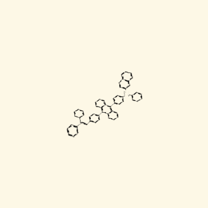 C(=C(c1ccccc1)c1ccccc1)c1ccc(-c2c3ccccc3c(-c3ccc(N(c4ccccc4)c4ccc5ccccc5c4)cc3)c3ccccc23)cc1